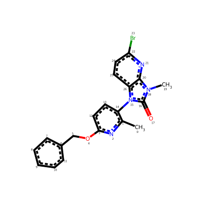 Cc1nc(OCc2ccccc2)ccc1-n1c(=O)n(C)c2nc(Br)ccc21